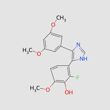 COc1cc(OC)cc(-c2nc[nH]c2-c2ccc(OC)c(O)c2F)c1